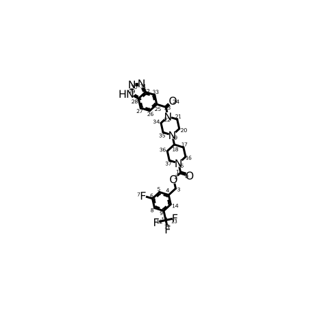 O=C(OCc1cc(F)cc(C(F)(F)F)c1)N1CCC(N2CCN(C(=O)c3ccc4[nH]nnc4c3)CC2)CC1